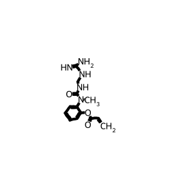 C=CC(=O)Oc1ccccc1N(C)C(=O)NCNC(=N)N